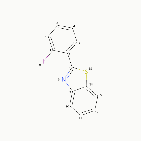 Ic1ccccc1-c1nc2ccccc2s1